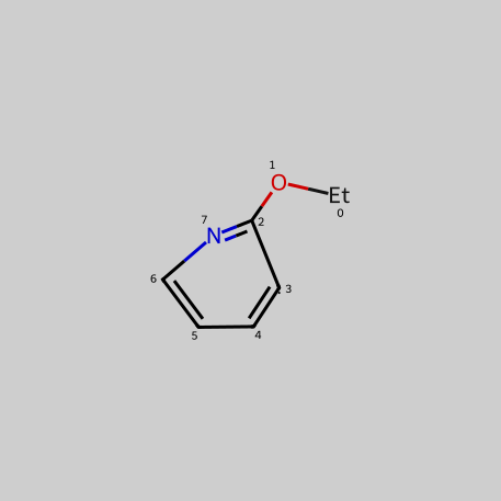 CCOc1[c]cccn1